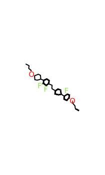 C=CCCOc1ccc(-c2ccc(CCc3ccc(C4CCC(OCCCC)CC4)c(F)c3F)cc2)c(F)c1